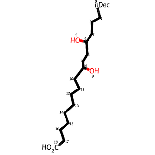 CCCCCCCCCCCCCC(O)CCC(O)CCCCCCCCC(=O)O